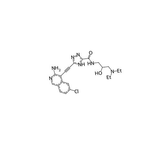 CCN(CC)CC(O)CNC(=O)c1nnc(C#Cc2c(N)ncc3ccc(Cl)cc23)[nH]1